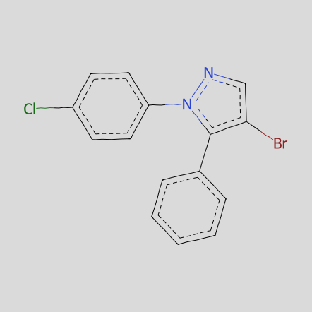 Clc1ccc(-n2ncc(Br)c2-c2ccccc2)cc1